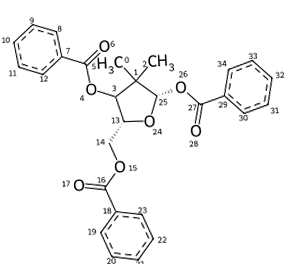 CC1(C)C(OC(=O)c2ccccc2)[C@@H](COC(=O)c2ccccc2)O[C@H]1OC(=O)c1ccccc1